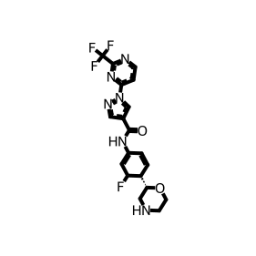 O=C(NC1=CC(F)C([C@H]2CNCCO2)C=C1)c1cnn(-c2ccnc(C(F)(F)F)n2)c1